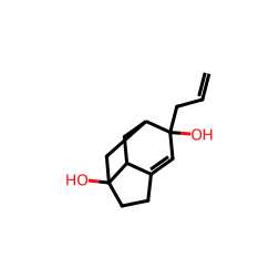 C=CCC1(O)C=C2CCC3(O)CC1CC23